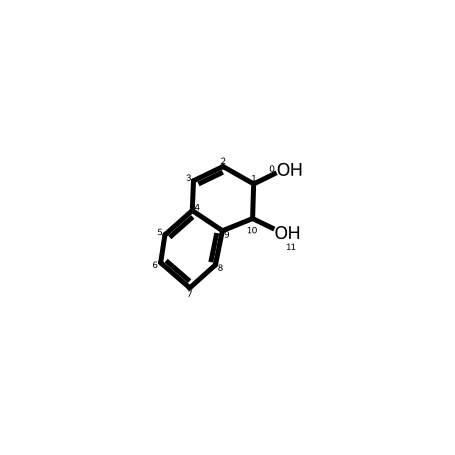 OC1C=Cc2ccccc2C1O